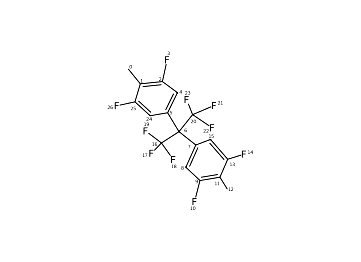 Cc1c(F)cc(C(c2cc(F)c(C)c(F)c2)(C(F)(F)F)C(F)(F)F)cc1F